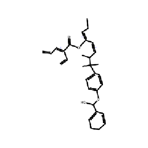 C=C/C=C(\C=C)C(=O)OC(/C=C\C(C)C(C)(C)c1ccc(OC(O)C2=CCCC=C2)cc1)=C/CC